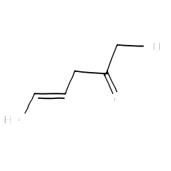 C/C=C/CC(=O)CC